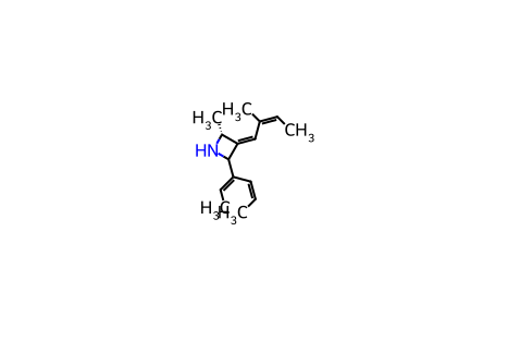 C/C=C\C(=C/C)C1N[C@H](C)/C1=C\C(C)=C/C